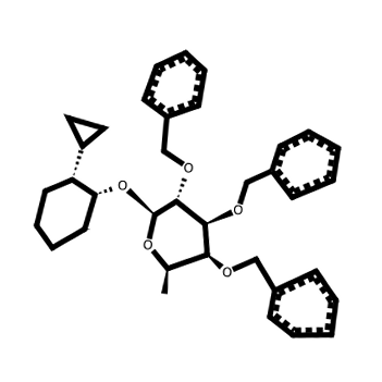 C[C@H]1O[C@@H](O[C@@H]2[CH]CCC[C@@H]2C2CC2)[C@H](OCc2ccccc2)[C@@H](OCc2ccccc2)[C@H]1OCc1ccccc1